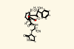 C[C@@](O)(C(=O)N1[C@@H]2CC[C@H]([C@H]1C(=O)N[C@H](C#N)C[C@H]1CCNC1=O)C(F)(F)C2)c1ccccc1